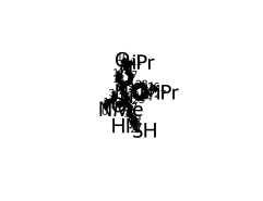 CNCCCN(C1CCN(C(=O)C(C)C)CC1)N(C(=O)CCCNS)C1CCN(CC(C)C)CC1